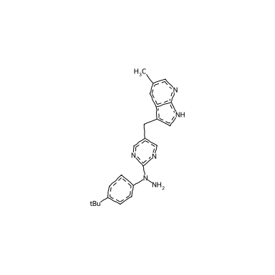 Cc1cnc2[nH]cc(Cc3cnc(N(N)c4ccc(C(C)(C)C)cc4)nc3)c2c1